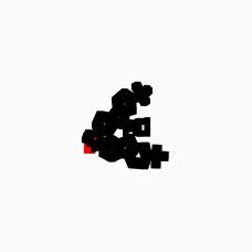 CC(C)(C)c1ccc2c(c1)C(P(Cl)C1c3cc(C(C)(C)C)ccc3-c3ccc(C(C)(C)C)cc31)c1cc(C(C)(C)C)ccc1-2